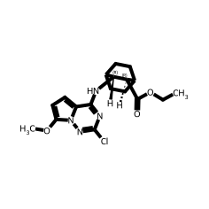 CCOC(=O)[C@@H]1C2CCC(CC2)[C@H]1Nc1nc(Cl)nn2c(OC)ccc12